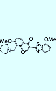 COc1ccc2c(=O)c(-c3nc4cccc(OC)c4s3)coc2c1CN1CCCCC1